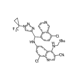 CC(C)(C)CNc1c(C#N)cnc2c(Cl)cc(NC(c3cn(C4(C(F)(F)F)CC4)nn3)c3ccc(Cl)c4cnccc34)cc12